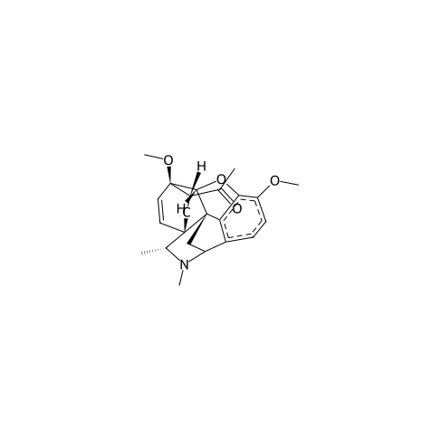 COc1ccc2c3c1O[C@H]1[C@@]4(OC)C=C[C@@]5(C[C@H]4C(C)=O)[C@@H](C)N(C)C2C[C@]315